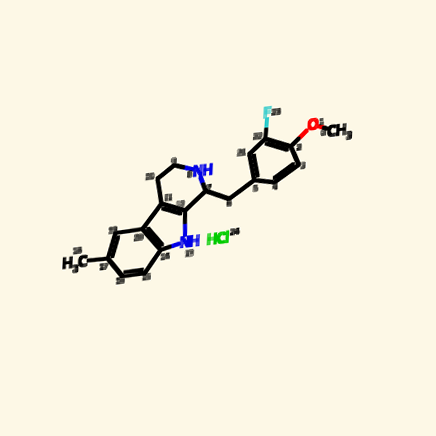 COc1ccc(CC2NCCc3c2[nH]c2ccc(C)cc32)cc1F.Cl